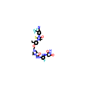 CCc1cc(N2C(=S)N(c3ccc(C#N)c(C(F)(F)F)c3)C(=O)C2(C)C)ccc1OCCN1C[C@@H](C)N(CC(=O)Nc2cc(F)cc(NC3CCC(=O)NC3=O)c2)[C@@H](C)C1